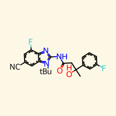 CC(O)(CC(=O)Nc1nc2c(F)cc(C#N)cc2n1C(C)(C)C)c1cccc(F)c1